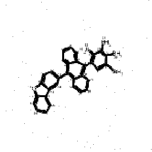 Bc1cc(-c2c3ccccc3c(-c3ccc4oc5ccccc5c4c3)c3ccccc23)c(B)c(B)c1B